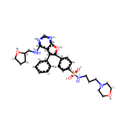 O=S(=O)(NCCCN1CCOCC1)c1ccc(-c2oc3ncnc(NCC4CCCO4)c3c2-c2ccccc2)cc1